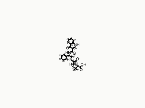 CC1(C)S[C@@H]2C(NC(=O)[C@H](NC(=O)c3c[nH]c4cccnc4c3=O)c3ccccc3)C(=O)N2[C@H]1C(=O)O